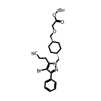 CC(C)(C)OC(=O)COC[C@H]1CC[C@H](Cn2nc(-c3ccccc3)c(Br)c2CCC#N)CC1